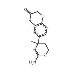 CC1(c2ccc3c(c2)NC(=O)CO3)CCSC(N)=N1